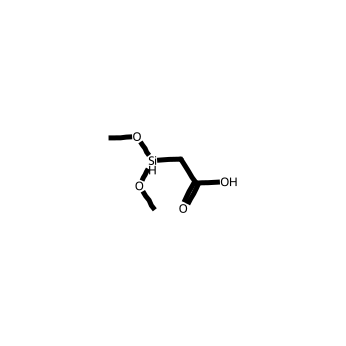 CO[SiH](CC(=O)O)OC